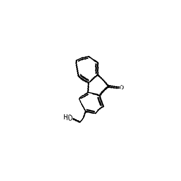 O=C1c2ccccc2-c2cc(CO)ccc21